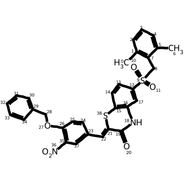 Cc1cccc(C)c1CS(=O)(=O)c1ccc2c(c1)NC(=O)C(=Cc1ccc(OCc3ccccc3)c([N+](=O)[O-])c1)S2